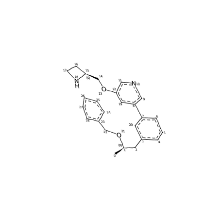 C[C@H](Cc1cccc(-c2cncc(OC[C@@H]3CCN3)c2)c1)OCc1ccccc1